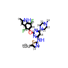 Cc1cc2c(F)c(Oc3nc(Nc4ncc(C(C)(C)C)s4)cc(N4CCN(C)CC4)n3)cc(F)c2[nH]1